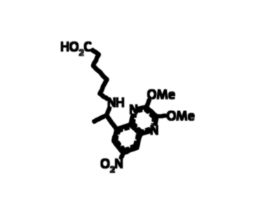 COc1nc2cc([N+](=O)[O-])cc(C(C)NCCCCC(=O)O)c2nc1OC